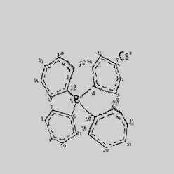 [Cs+].c1ccc([B-](c2ccccc2)(c2ccccc2)c2ccccc2)cc1